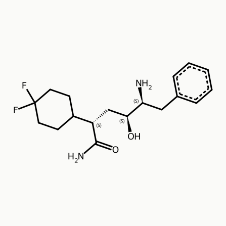 NC(=O)[C@@H](C[C@H](O)[C@@H](N)Cc1ccccc1)C1CCC(F)(F)CC1